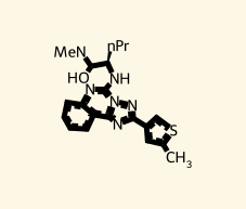 CCC[C@@H](Nc1nc2ccccc2c2nc(-c3csc(C)c3)nn12)C(O)NC